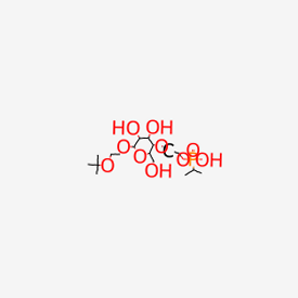 CC(C)P(=O)(O)OCCOC1C(CO)OC(OCCOC(C)(C)C)C(O)C1O